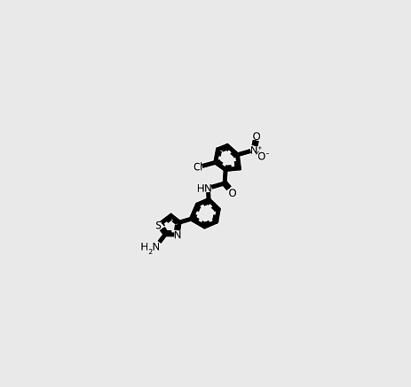 Nc1nc(-c2cccc(NC(=O)c3cc([N+](=O)[O-])ccc3Cl)c2)cs1